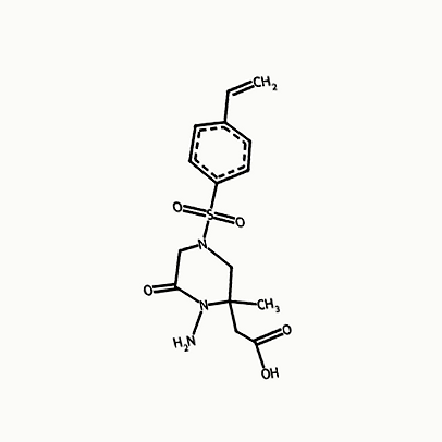 C=Cc1ccc(S(=O)(=O)N2CC(=O)N(N)C(C)(CC(=O)O)C2)cc1